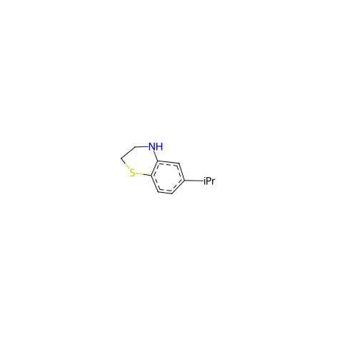 CC(C)c1ccc2c(c1)NCCS2